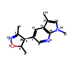 CC1=NOC(C)[C@@H]1c1cnc2c(c1)c(I)cn2C